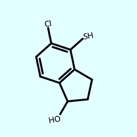 OC1CCc2c1ccc(Cl)c2S